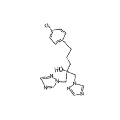 OC(CCCc1ccc(Cl)cc1)(Cn1cncn1)Cn1cncn1